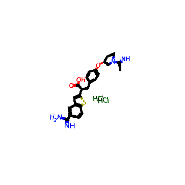 CC(=N)N1CC[C@H](Oc2ccc(CC(C(=O)O)c3cc4cc(C(=N)N)ccc4s3)cc2)C1.Cl.Cl